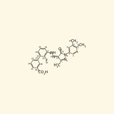 CC1=NN(c2ccc(C)c(C)c2)C(=O)/C1=N\Nc1cccc(-c2cccc(C(=O)O)c2)c1F